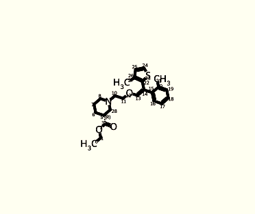 CCOC(=O)[C@@H]1CCCN(CCOC=C(c2ccccc2C)c2sccc2C)C1